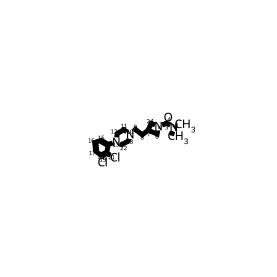 CN(C)C(=O)N1CC(CCN2CCN(c3cccc(Cl)c3Cl)CC2)C1